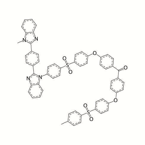 Cc1ccc(S(=O)(=O)c2ccc(Oc3ccc(C(=O)c4ccc(Oc5ccc(S(=O)(=O)c6ccc(-n7c(-c8ccc(-c9nc%10ccccc%10n9C)cc8)nc8ccccc87)cc6)cc5)cc4)cc3)cc2)cc1